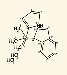 Cl.Cl.[CH3][Zr]([CH3])(=[SiH2])([c]1ccc[nH]1)[CH]1C=Cc2ccccc21